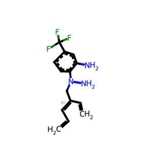 C=C/C=C(\C=C)CN(N)c1ccc(C(F)(F)F)cc1N